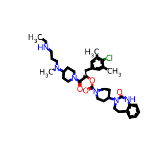 CCNCCCN(C)C1CCN(C(=O)[C@@H](Cc2cc(C)c(Cl)c(C)c2)OC(=O)N2CCC(N3CCc4ccccc4NC3=O)CC2)CC1